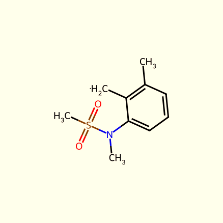 [CH2]c1c(C)cccc1N(C)S(C)(=O)=O